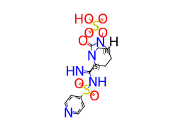 N=C(NS(=O)(=O)c1ccncc1)[C@@H]1CC[C@@H]2CN1C(=O)N2OS(=O)(=O)O